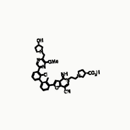 COc1nc(-c2cccc(-c3cccc(-c4cc5c(=N)n(CCN6CC[C@@H](C(=O)O)C6)cc(C#N)c5o4)c3C)c2Cl)cnc1CN1CC[C@@H](O)C1